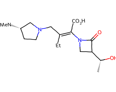 CC/C(CN1CC[C@H](NC)C1)=C(/C(=O)O)N1CC([C@@H](C)O)C1=O